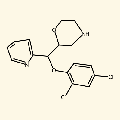 Clc1ccc(OC(c2ccccn2)C2CNCCO2)c(Cl)c1